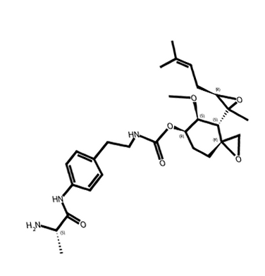 CO[C@H]1[C@H](C2(C)O[C@@H]2CC=C(C)C)[C@]2(CC[C@H]1OC(=O)NCCc1ccc(NC(=O)[C@H](C)N)cc1)CO2